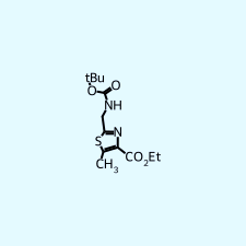 CCOC(=O)c1nc(CNC(=O)OC(C)(C)C)sc1C